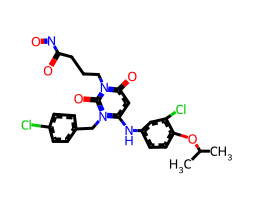 CC(C)Oc1ccc(Nc2cc(=O)n(CCCC(=O)N=O)c(=O)n2Cc2ccc(Cl)cc2)cc1Cl